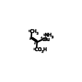 CC=C(C(=O)O)C(C)(C)C.N